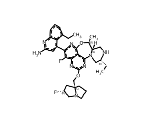 CCc1cccc2nc(N)cc(-c3nc4c5c(nc(OC[C@@]67CCCN6C[C@H](F)C7)nc5c3F)N3C[C@@H](CC)NC[C@H]3[C@H](C)O4)c12